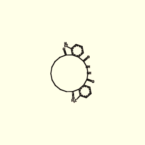 Cc1cccc2c1C(=O)CCCCCCCCC(=O)c1c(C)cccc1C(=O)NNC2=O